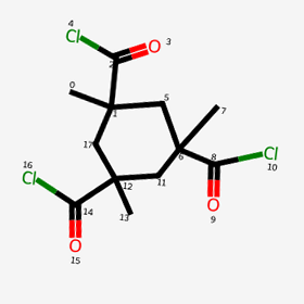 CC1(C(=O)Cl)CC(C)(C(=O)Cl)CC(C)(C(=O)Cl)C1